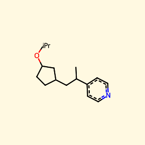 CC(C)OC1CCC(CC(C)c2ccncc2)C1